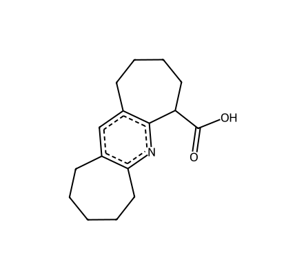 O=C(O)C1CCCCc2cc3c(nc21)CCCCC3